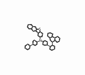 c1ccc(-c2ccc(N(c3ccc(-c4ccccc4-c4cc5ccccc5c5ccccc45)cc3)c3ccc4sc5cc6ccccc6cc5c4c3)cc2)cc1